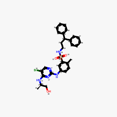 Cc1ccc(Nc2ncc(Br)c(N[C@H](C)CO)n2)cc1S(=O)(=O)NCCC(c1ccccc1)c1ccccc1